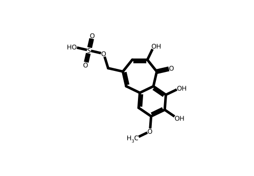 COc1cc2cc(COS(=O)(=O)O)cc(O)c(=O)c2c(O)c1O